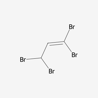 BrC(Br)=CC(Br)Br